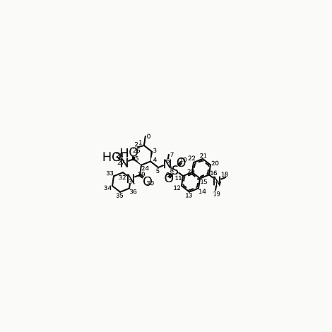 CC(C)C[C@@H](CN(C)S(=O)(=O)c1cccc2c(N(C)C)cccc12)[C@H](C(=O)NO)C(=O)N1CCCCC1